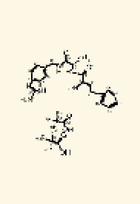 C[C@H](NC(=O)C(N)CCc1ccccc1)C(=O)NCc1ccc2nc(N)[nH]c2c1.O=C(O)C(F)(F)F.O=C(O)C(F)(F)F